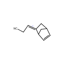 N#CC/C=C1/CC2C=CC1C2